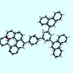 c1ccc(-c2cccc3nc(-c4ccc(-c5nc(-c6cc7ccccc7c7ccccc67)nc(-c6cc7ccccc7c7ccccc67)n5)cc4)c4ccc5ccccc5c4c23)cc1